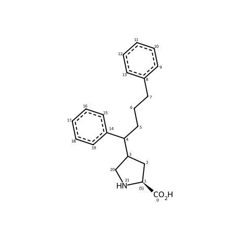 O=C(O)[C@@H]1CC(C(CCCc2ccccc2)c2ccccc2)CN1